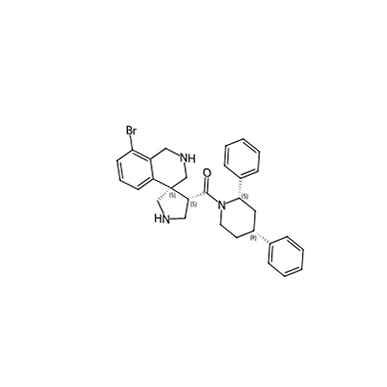 O=C([C@@H]1CNC[C@]12CNCc1c(Br)cccc12)N1CC[C@@H](c2ccccc2)C[C@H]1c1ccccc1